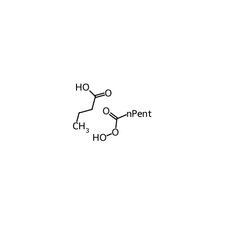 CCCC(=O)O.CCCCCC(=O)OO